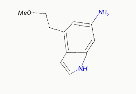 COCCc1cc(N)cc2[nH]ccc12